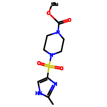 Cc1nc(S(=O)(=O)N2CCN(C(=O)OC(C)(C)C)CC2)c[nH]1